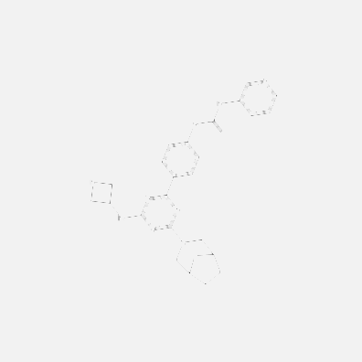 O=C(Nc1ccc(-c2nc(NC3CNC3)nc(N3CC4CCC(C3)O4)n2)cc1)Nc1cccnc1